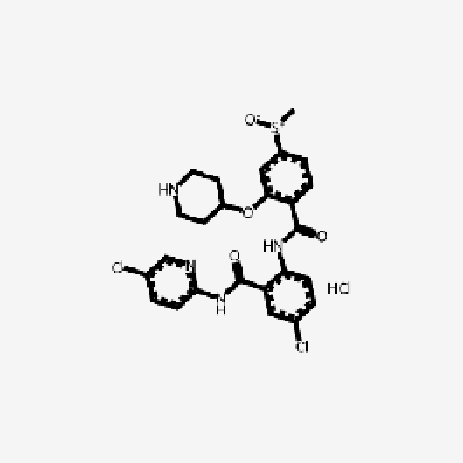 C[S+]([O-])c1ccc(C(=O)Nc2ccc(Cl)cc2C(=O)Nc2ccc(Cl)cn2)c(OC2CCNCC2)c1.Cl